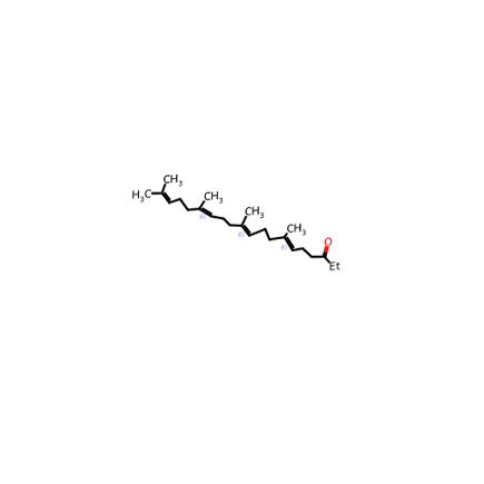 CCC(=O)CC/C=C(\C)CC/C=C(\C)CC/C=C(\C)CCC=C(C)C